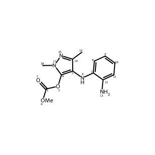 COC(=O)Oc1c(Nc2ccccc2N)c(C)nn1C